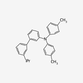 Cc1ccc(N(c2ccc(C)cc2)c2cccc(-c3cccc(C(C)C)c3)c2)cc1